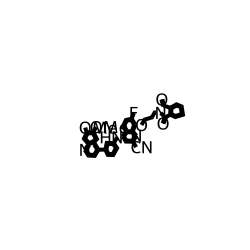 COc1cc2nccc(-c3cccc(Nc4cc(C#N)nc5c(OCCCN6C(=O)c7ccccc7C6=O)c(F)ccc45)c3)c2cc1OC